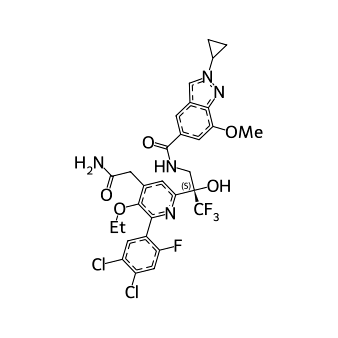 CCOc1c(CC(N)=O)cc([C@@](O)(CNC(=O)c2cc(OC)c3nn(C4CC4)cc3c2)C(F)(F)F)nc1-c1cc(Cl)c(Cl)cc1F